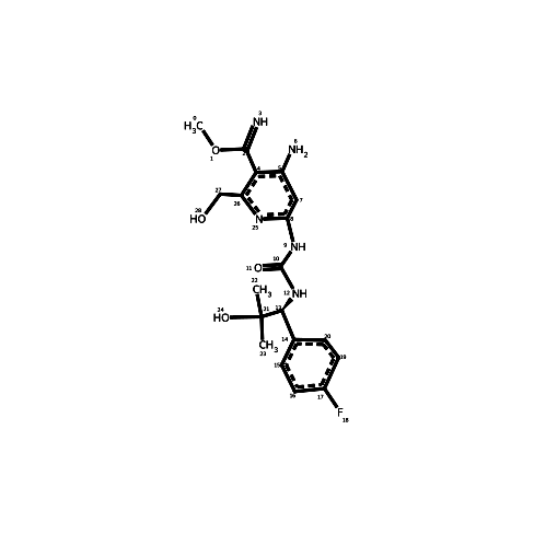 COC(=N)c1c(N)cc(NC(=O)N[C@@H](c2ccc(F)cc2)C(C)(C)O)nc1CO